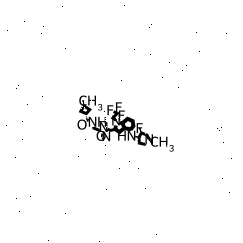 CN1CC[C@@H](Nc2cccc3c2cc(-c2noc(CNC(=O)[C@H]4C[C@H](C)C4)n2)n3CC(F)(F)F)[C@@H](F)C1